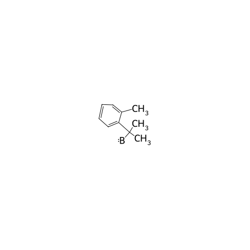 [B]C(C)(C)c1ccccc1C